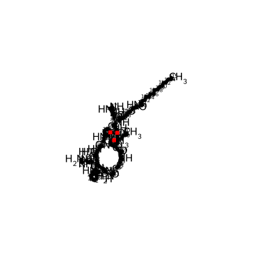 C/C=C1/N[C@@H](CC(=O)Nc2ccccc2)C(=O)N[C@H](C)C(=O)N[C@@H](CCCNC(=N)N)C(=O)N[C@@H](Cc2c[nH]c3ccccc23)C(=O)N[C@H](C(N)=O)CCCCNCC(=O)CC[C@@H]1NC(=O)[C@H](CCCC)NC(=O)[C@H](CO)NC(=O)[C@H](CCCNC(=N)N)NC(=O)COCCOCCNC(=O)CCCCCCCCCCCCCCC